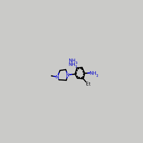 CCc1cc(N2CCN(C)CC2)ccc1N.N.N